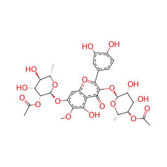 COc1c(O[C@@H]2O[C@@H](C)[C@H](O)[C@@H](O)[C@H]2OC(C)=O)cc2oc(-c3ccc(O)c(O)c3)c(O[C@@H]3O[C@@H](C)[C@H](OC(C)=O)[C@@H](O)[C@H]3O)c(=O)c2c1O